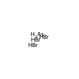 Br.Br.Br.[AsH3]